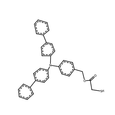 O=C(CS)OCc1ccc(N(c2ccc(-c3ccccc3)cc2)c2ccc(-c3ccccc3)cc2)cc1